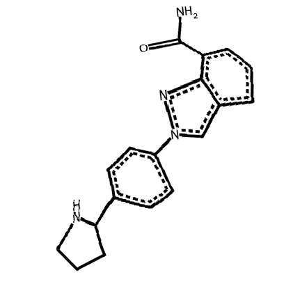 NC(=O)c1cccc2cn(-c3ccc(C4CCCN4)cc3)nc12